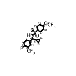 O=S(=O)(NC(c1ccc(F)c(C(F)(F)F)c1)C1CC1)c1ccc(OC(F)(F)F)cc1